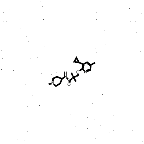 Cc1cnc(OCC(C)(C)C(=O)NC2CCN(C)CC2)c(C2CC2)c1